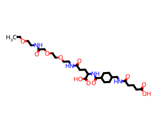 CCOCCNC(=O)COCCOCCNC(=O)CCC(NC(=O)C1CCC(CNC(=O)CCCC(=O)O)CC1)C(=O)O